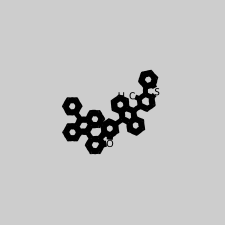 CC1C(c2c3ccccc3c(-c3ccc4c(c3)oc3cccc(-c5c6ccccc6c(-c6ccccc6)c6ccccc56)c34)c3ccccc23)=CC=C2Sc3ccccc3C21